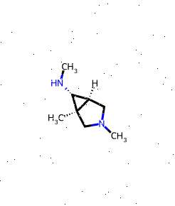 CN[C@@H]1[C@H]2CN(C)C[C@]21C